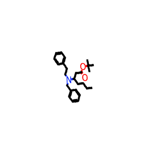 CCCCC(CC(=O)OC(C)(C)C)N(CCc1ccccc1)Cc1ccccc1